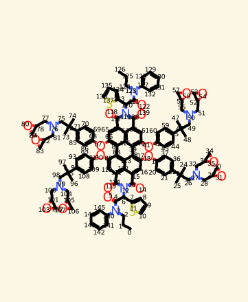 CCCN(C(=O)C(c1cccs1)N1C(=O)c2cc(Oc3ccc(C(C)(C)CN(CC4CO4)CC4CO4)cc3)c3c4c(Oc5ccc(C(C)(C)CN(CC6CO6)CC6CO6)cc5)cc5c6c(cc(Oc7ccc(C(C)(C)CN(CC8CO8)CC8CO8)cc7)c(c7c(Oc8ccc(C(C)(C)CN(CC9CO9)CC9CO9)cc8)cc(c2c37)C1=O)c64)C(=O)N(C(C(=O)N(CCC)c1ccccc1)c1cccs1)C5=O)c1ccccc1